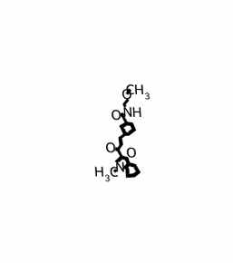 COCCNC(=O)c1cccc(C=CC(=O)c2cn(C)c3ccccc3c2=O)c1